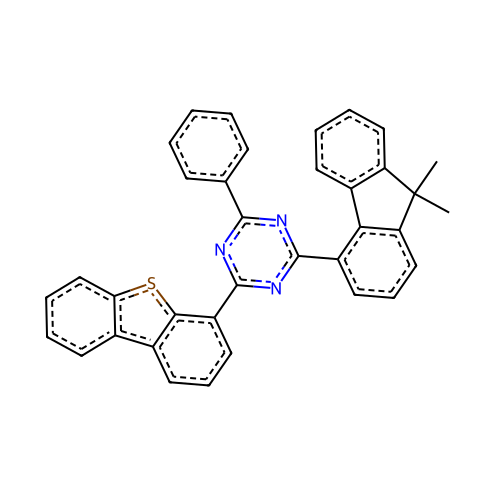 CC1(C)c2ccccc2-c2c(-c3nc(-c4ccccc4)nc(-c4cccc5c4sc4ccccc45)n3)cccc21